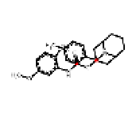 COc1ccc(C)c(NC(=O)OC2CC3CCCC(C2)N3Cc2ccc(C)cc2)c1